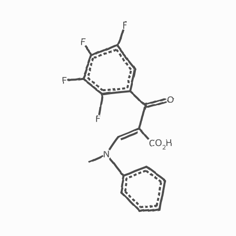 CN(C=C(C(=O)O)C(=O)c1cc(F)c(F)c(F)c1F)c1ccccc1